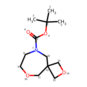 CC(C)(C)OC(=O)N1CCOCC2(COC2)C1